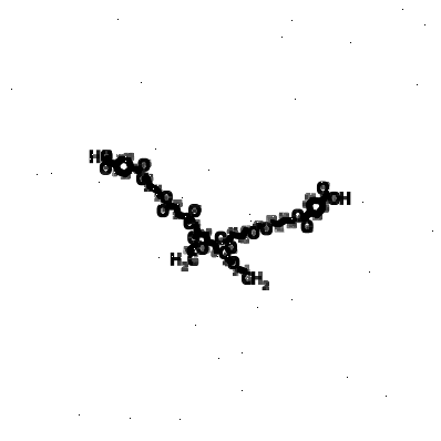 C=CCOCOCC(CCC(COC(=O)CCC(=O)OCCCCOC(=O)C1CCC(C(=O)O)CC1)OC(=O)C=C)OC(=O)CCCOCOCCCCOC(=O)C1CCC(C(=O)O)CC1